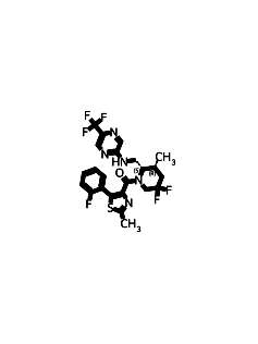 Cc1nc(C(=O)N2CC(F)(F)C[C@@H](C)[C@H]2CNc2cnc(C(F)(F)F)cn2)c(-c2ccccc2F)s1